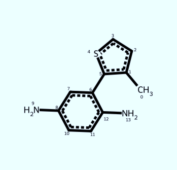 Cc1ccsc1-c1cc(N)ccc1N